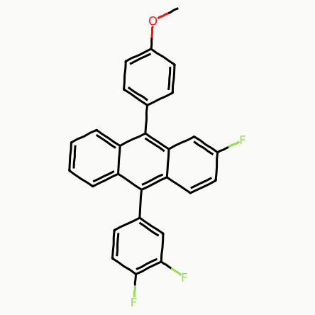 COc1ccc(-c2c3ccccc3c(-c3ccc(F)c(F)c3)c3ccc(F)cc23)cc1